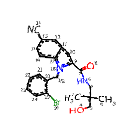 CC(C)(CO)CNC(=O)c1cc2cc(C#N)ccc2n1Cc1ccccc1Br